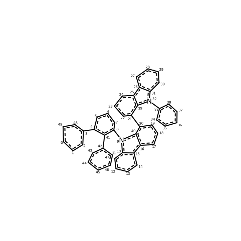 c1ccc(-c2cccc(-n3c4ccccc4c4cccc(-c5cccc6c7ccccc7n(-c7ccccc7)c56)c43)c2-c2ccccc2)cc1